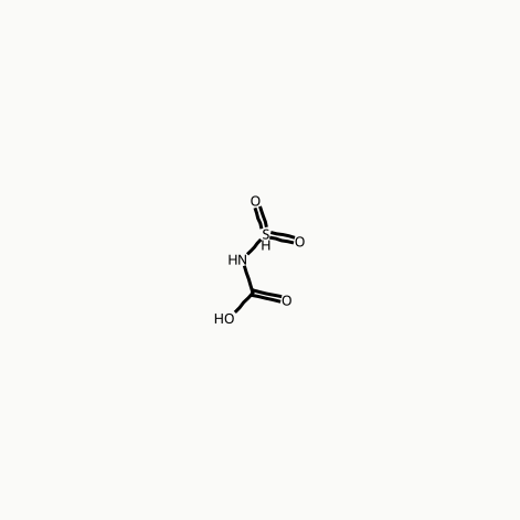 O=C(O)N[SH](=O)=O